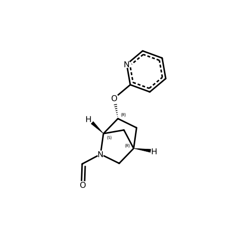 O=CN1C[C@H]2C[C@@H](Oc3ccccn3)[C@@H]1C2